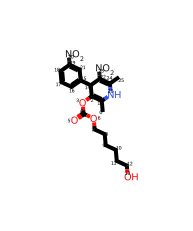 CC1=C(OC(=O)OCCCCCCO)C(c2cccc([N+](=O)[O-])c2)C([N+](=O)[O-])=C(C)N1